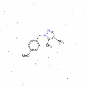 COc1ccc(Cn2ncc([N+](=O)[O-])c2C)cc1